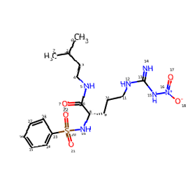 CC(C)CCNC(=O)[C@H](CCCNC(=N)N[N+](=O)[O-])NS(=O)(=O)c1ccccc1